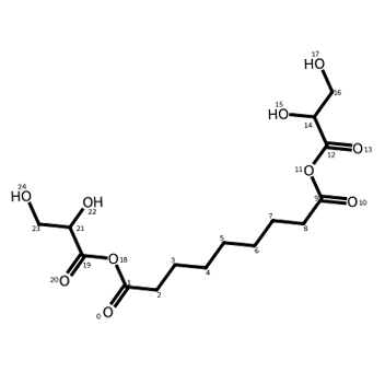 O=C(CCCCCCCC(=O)OC(=O)C(O)CO)OC(=O)C(O)CO